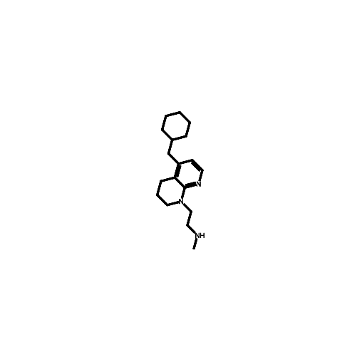 CNCCN1CCCc2c(CC3CCCCC3)ccnc21